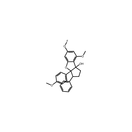 COc1ccc(C23Oc4cc(OF)cc(OC)c4C2(O)CCC3c2ccccc2)cc1